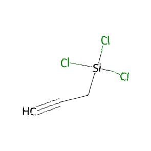 C#CC[Si](Cl)(Cl)Cl